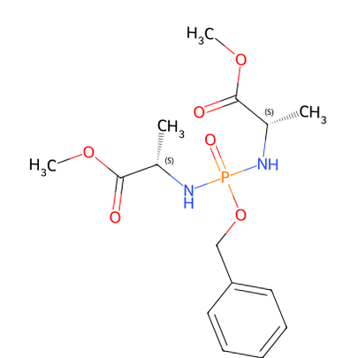 COC(=O)[C@H](C)NP(=O)(N[C@@H](C)C(=O)OC)OCc1ccccc1